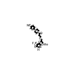 COCC(COCCC(=O)N1CCN(c2ccc(C#N)cn2)CC1)Oc1cn[nH]c(=O)c1C(F)(F)F